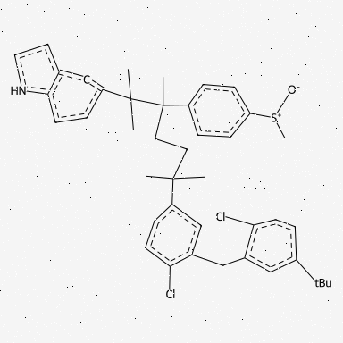 C[S+]([O-])c1ccc(C(C)(CCC(C)(C)c2ccc(Cl)c(Cc3cc(C(C)(C)C)ccc3Cl)c2)C(C)(C)c2ccc3[nH]ccc3c2)cc1